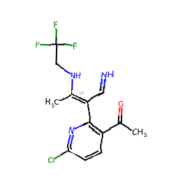 CC(=O)c1ccc(Cl)nc1/C(C=N)=C(\C)NCC(F)(F)F